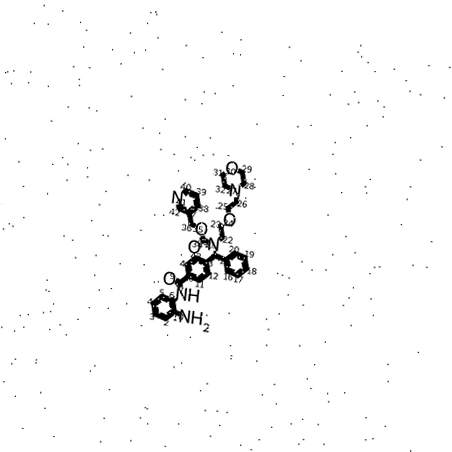 Nc1ccccc1NC(=O)c1ccc([C@H](c2ccccc2)N(CCOCCN2CCOCC2)C(=O)OCc2cccnc2)cc1